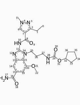 CCc1nn(C)cc1C(=O)Nc1nc2cc(C(N)=O)cc(OC)c2n1CCCNC(=O)OC1CCCC1